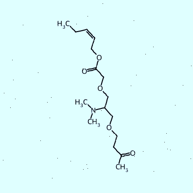 CC/C=C\COC(=O)COCC(COCCC(C)=O)N(C)C